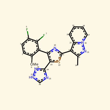 COc1ccc(F)c(F)c1-c1nc(-c2c(C)nn3ccccc23)sc1-c1nc[nH]n1